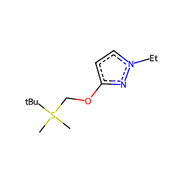 CCn1ccc(OCS(C)(C)C(C)(C)C)n1